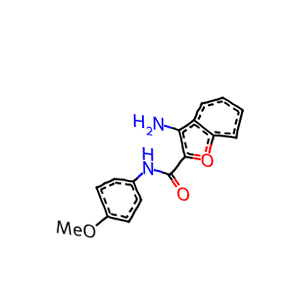 COc1ccc(NC(=O)c2oc3ccccc3c2N)cc1